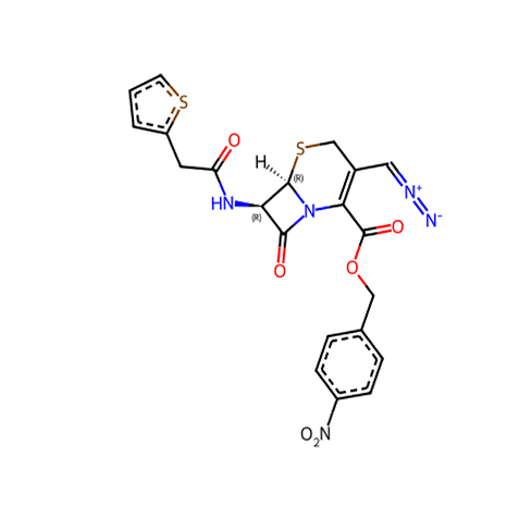 [N-]=[N+]=CC1=C(C(=O)OCc2ccc([N+](=O)[O-])cc2)N2C(=O)[C@@H](NC(=O)Cc3cccs3)[C@H]2SC1